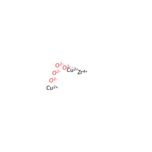 [Cu+2].[Cu+2].[O-2].[O-2].[O-2].[O-2].[Zr+4]